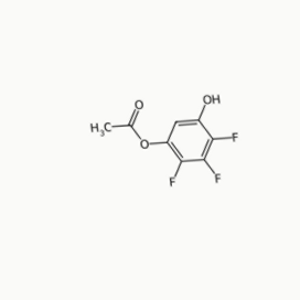 CC(=O)Oc1cc(O)c(F)c(F)c1F